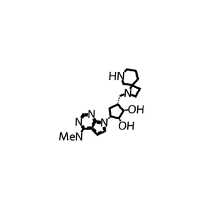 CNc1ncnc2c1ccn2[C@@H]1C[C@H](CN2CCC23CCCNC3)[C@@H](O)[C@H]1O